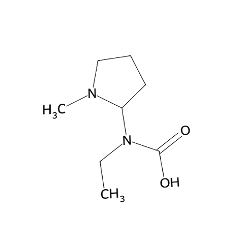 CCN(C(=O)O)C1CCCN1C